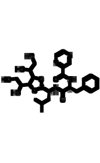 CC(C)C[C@H](NC(=O)[C@H](Cc1ccccc1)NC(=O)c1cnccn1)B1OC(C(O)CO)C(C(O)CO)O1